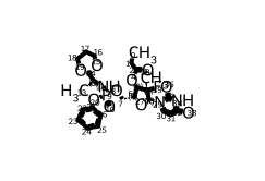 CCC(=O)O[C@@H]1[C@@H](COP(=O)(N[C@@H](C)C2OCCCO2)Oc2ccccc2)O[C@@H](n2ccc(=O)[nH]c2=O)[C@]1(C)F